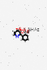 CC(=O)NO[As](=O)(OO)c1ccccc1-c1ccccn1